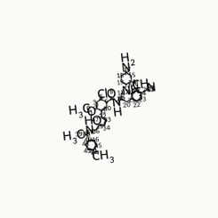 COC1=CC(Cl)C(C(=O)N[C@@H](CN[C@H]2CC[C@@H](N)CC2)Cc2ccc(C#N)c(C)c2)C=C1c1ccc(CN[C@H](C)c2ccc(C)cc2)o1